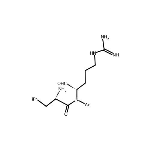 CC(=O)N(C(=O)[C@@H](N)CC(C)C)[C@H](C=O)CCCNC(=N)N